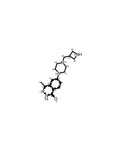 Cc1n[nH]c(=O)c2ccc(N3CCN(CC4CNC4)CC3)cc12